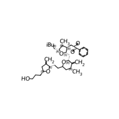 C=C1C[C@H](CCCO)O[C@H]1CCC1C[C@@H](C)C(=C)[C@@H](C[C@@H]2O[C@H](C[C@H](C)CC)[C@H](C)[C@H]2CS(=O)(=O)c2ccccc2)O1